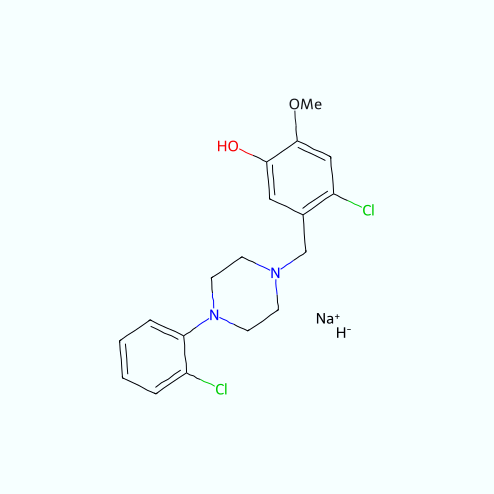 COc1cc(Cl)c(CN2CCN(c3ccccc3Cl)CC2)cc1O.[H-].[Na+]